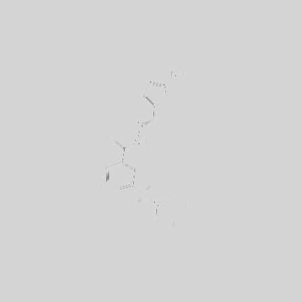 CCN(CC)S(=O)(=O)c1cccc(C(=O)N/N=C/c2ccc(N)o2)c1